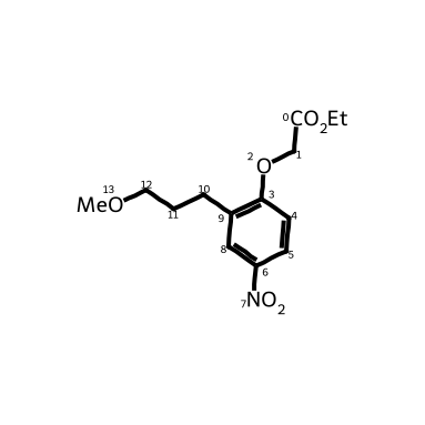 CCOC(=O)COc1ccc([N+](=O)[O-])cc1CCCOC